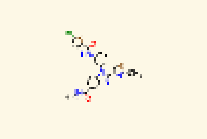 CNC(=O)c1ccc2c(c1)nc(-c1csc(C)n1)n2C1CCCC(NC(=O)c2ccc(Br)s2)C1